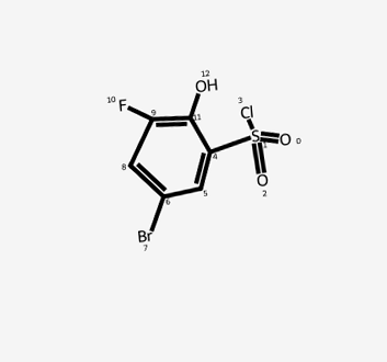 O=S(=O)(Cl)c1cc(Br)cc(F)c1O